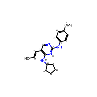 COc1ccc(Nc2ncc(/C=C/C#N)c(NC3CCCC3)n2)cc1